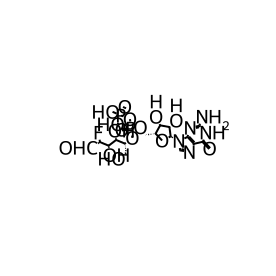 Nc1nc2c(ncn2[C@@H]2O[C@H](COP(=O)(O[C@H](CO)[C@@H](O)[C@H](O)[C@H](F)C=O)OP(=O)(O)O)[C@@H](O)[C@H]2O)c(=O)[nH]1